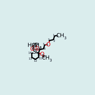 CCCCOCCCC1(OC)CCCC[Si]1(OC)OC